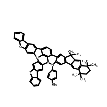 CC(C)(C)c1ccc(N2B3c4cc5c(cc4-n4c6cc7oc8ccccc8c7cc6c6ccc(c3c64)-c3cc4c(cc32)-c2cc3c(cc2C4(C)C)C(C)(C)CCC3(C)C)oc2ccccc25)cc1